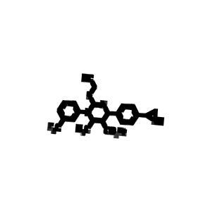 CCOC(=O)C1=C(C)N(c2cccc(C(F)(F)F)c2)C(SCC#N)=NC1c1ccc(C2CN2)cc1